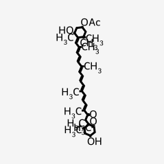 CC(=O)OC1CC(C)(C)C(=C/C(C)=C/C=C/C(C)=C/C=C/C=C(C)/C=C/C=C(\C)C(=O)CC23OC2(C)CC(O)CC3(C)C)[C@@](C)(O)C1